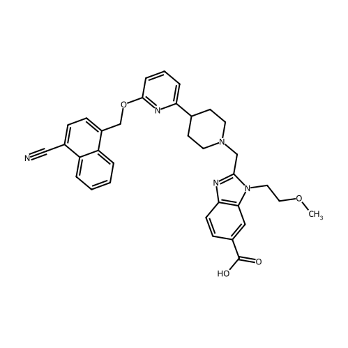 COCCn1c(CN2CCC(c3cccc(OCc4ccc(C#N)c5ccccc45)n3)CC2)nc2ccc(C(=O)O)cc21